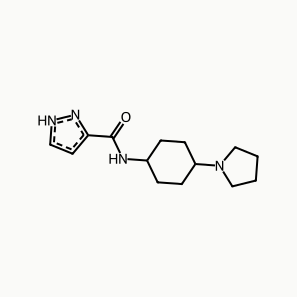 O=C(NC1CCC(N2CCCC2)CC1)c1cc[nH]n1